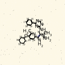 Cc1nc(/C(N)=C(\CNc2ncnc(-c3ccccc3)n2)N(C)N)ccc1OC1CCCCC1